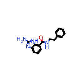 Nc1nc2cccc(C(=O)NCCc3ccccc3)c2[nH]1